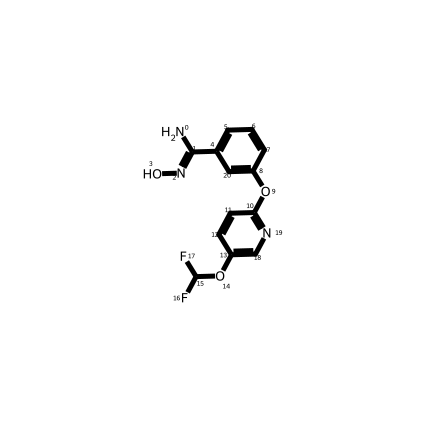 N/C(=N\O)c1cccc(Oc2ccc(OC(F)F)cn2)c1